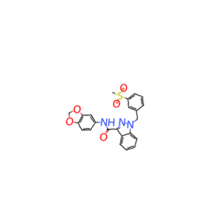 CS(=O)(=O)c1cccc(Cn2nc(C(=O)Nc3ccc4c(c3)OCO4)c3ccccc32)c1